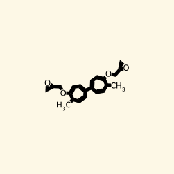 CC1C=CC(C2=CC=C(OCC3CO3)C(C)C=C2)=CC=C1OCC1CO1